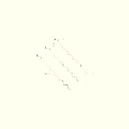 CCCCCCCCCCCCCCC(S)C(=O)[O-].CCCCCCCCCCCCCCC(S)C(=O)[O-].CCCCCCCCCCCCCCC(S)C(=O)[O-].[CH3][Sn+3]